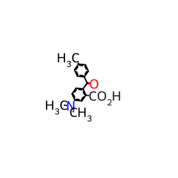 Cc1ccc(C(=O)c2ccc(N(C)C)cc2C(=O)O)cc1